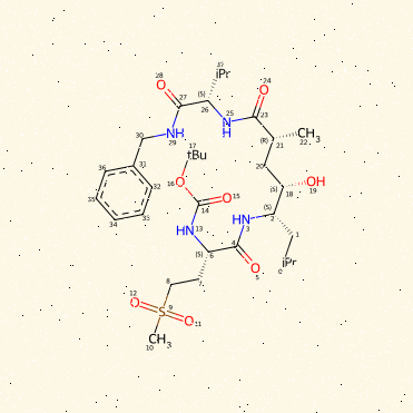 CC(C)C[C@H](NC(=O)[C@H](CCS(C)(=O)=O)NC(=O)OC(C)(C)C)[C@@H](O)C[C@@H](C)C(=O)N[C@H](C(=O)NCc1ccccc1)C(C)C